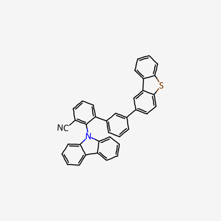 N#Cc1cccc(-c2cccc(-c3ccc4sc5ccccc5c4c3)c2)c1-n1c2ccccc2c2ccccc21